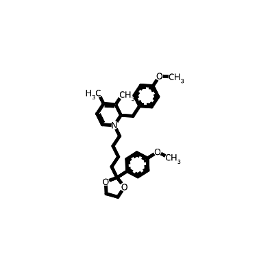 COc1ccc(CC2C(C)=C(C)C=CN2CCCCC2(c3ccc(OC)cc3)OCCO2)cc1